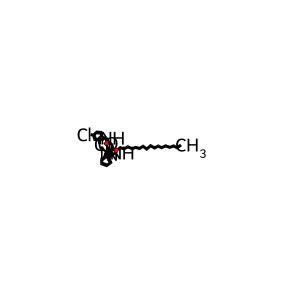 CCCCCCCCCCCCCCCCCc1[nH]n2c(nc3ccccc32)c1OC(=O)Nc1ccc(Cl)cc1Cl